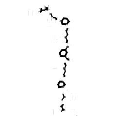 C=C(C)C(=O)OCC(O)COc1cccc(OCCC(O)COC(=O)c2cccc(C(=O)OCC(O)CCOc3cccc(OCC(O)COC(=O)C(=C)C)c3)c2)c1